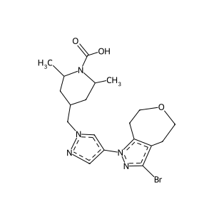 CC1CC(Cn2cc(-n3nc(Br)c4c3CCOCC4)cn2)CC(C)N1C(=O)O